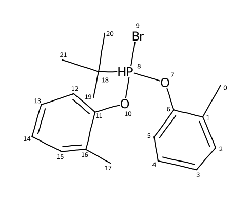 Cc1ccccc1O[PH](Br)(Oc1ccccc1C)C(C)(C)C